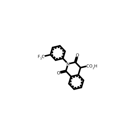 O=C(O)C1C(=O)N(c2cccc(C(F)(F)F)c2)C(=O)c2ccccc21